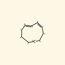 C1=CCCCCCC/C=C/1